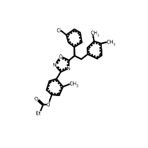 CCC(=O)Oc1ccc(-c2noc(C(Cc3ccc(C)c(C)c3)c3cccc(Cl)c3)n2)c(C)c1